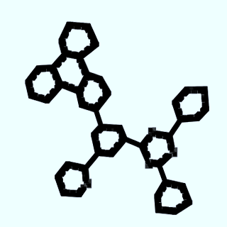 c1ccc(-c2nc(-c3ccccc3)nc(-c3cc(-c4ccc5c6ccccc6c6ccccc6c5c4)cc(-c4ccccn4)c3)n2)cc1